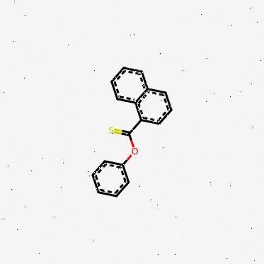 S=C(Oc1ccccc1)c1cccc2ccccc12